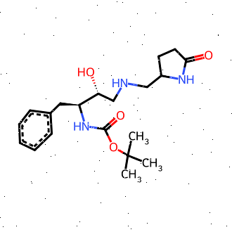 CC(C)(C)OC(=O)N[C@@H](Cc1ccccc1)[C@H](O)CNCC1CCC(=O)N1